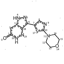 O=c1cc2[nH]nc(-c3cnc(N4CCOCC4)s3)c2n[nH]1